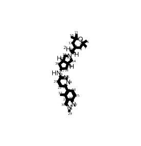 [2H]C([2H])(C1CC(C)(C)OC(C)(C)C1)N1C[C@H]2CC(Nc3ccc(-c4ccc5nn(C)cc5c4C)nn3)C[C@H]2C1